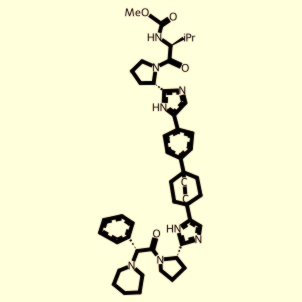 COC(=O)N[C@H](C(=O)N1CCC[C@H]1c1ncc(-c2ccc(C34CCC(c5cnc([C@@H]6CCCN6C(=O)[C@@H](c6ccccc6)N6CCCCC6)[nH]5)(CC3)CC4)cc2)[nH]1)C(C)C